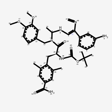 Bc1cccc(/C(=C/NC(C)N(Cc2ccc(OC)c(OC)c2)C(=O)[C@H](Cc2c(C)cc(C(N)=O)cc2C)NC(=O)OC(C)(C)C)N=C)c1